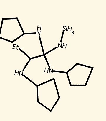 CCC(NC1CCCC1)C(N[SiH3])(NC1CCCC1)NC1CCCC1